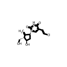 C=C1[C@@H](CO)[C@H](O)C[C@H]1n1cc(/C=C/Cl)c(=O)[nH]c1=O